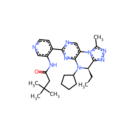 CC[C@@H]1c2nnc(C)n2-c2cnc(-c3ccncc3NC(=O)CC(C)(C)C)nc2N1C1CCCC1